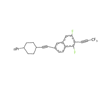 CCCC1CCC(C#Cc2ccc3c(F)c(C#CC(F)(F)F)c(F)cc3c2)CC1